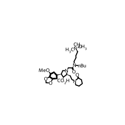 CCCCN(CCCC[N+](C)(C)C)C(=O)CN1C[C@H](c2cc(OC)c3c(c2)OCO3)[C@@H](C(=O)O)[C@@H]1CCN1CCCCC1=O